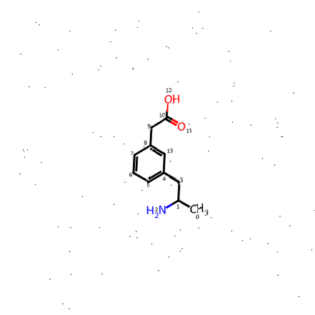 CC(N)Cc1cccc(CC(=O)O)c1